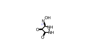 O=C1NN/C(=N\O)C1=O